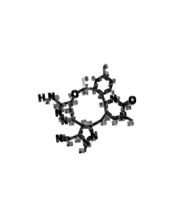 Cc1ccc2c(c1)[C@@H](C)Oc1cc(nnc1N)-c1c(nn(C)c1C#N)Cc1cn(C)c(=O)nc1-2